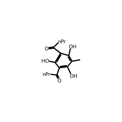 CCCC(=O)c1c(O)c(C)c(O)c(C(=O)CCC)c1O